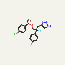 CC(OCC(F)(Cc1c[nH]nn1)c1ccc(Cl)cc1)c1ccc(Cl)cc1